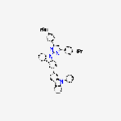 CC(C)c1ccc(-c2cc(-c3ccc(C(C)(C)C)cc3)nc(-n3c4ccccc4c4cc(-c5ccc6c7ccccc7n(-c7ccccc7)c6c5)ccc43)n2)cc1